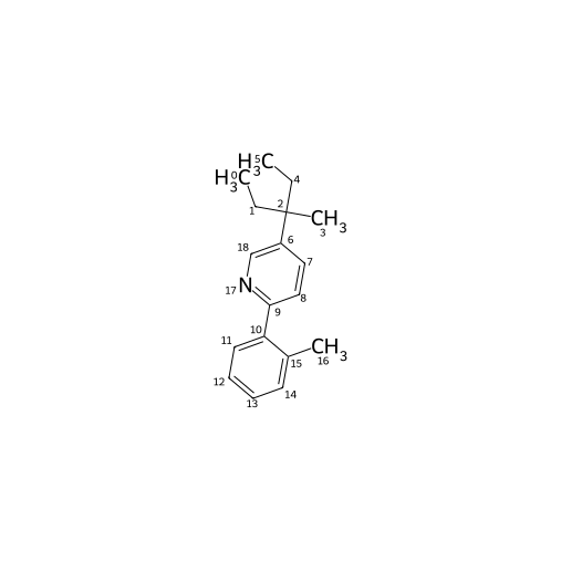 CCC(C)(CC)c1ccc(-c2ccccc2C)nc1